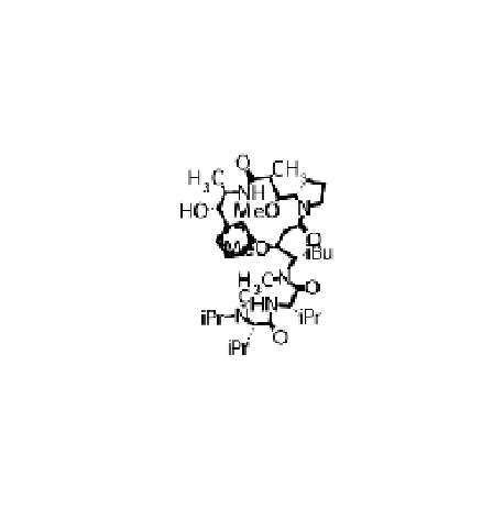 CCC(C)[C@@H]([C@@H](CC(=O)N1CCC[C@H]1[C@H](OC)[C@@H](C)C(=O)N[C@H](C)[C@@H](O)c1ccccc1)OC)N(C)C(=O)[C@@H](NC(=O)[C@H](C(C)C)N(C)C(C)C)C(C)C